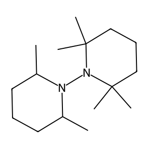 CC1CCCC(C)N1N1C(C)(C)CCCC1(C)C